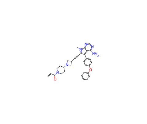 C=CC(=O)N1CCC(N2CC(C#Cc3c(-c4ccc(Oc5ccccc5)cc4)c4c(N)ncnc4n3C)C2)CC1